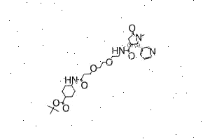 CN1C(=O)C[C@H](C(=O)NCCOCCOCCC(=O)NC2CCC(C(=O)OC(C)(C)C)CC2)[C@H]1c1cccnc1